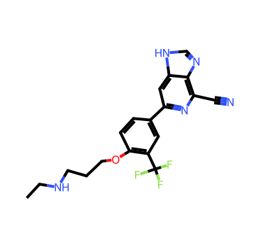 CCNCCCOc1ccc(-c2cc3[nH]cnc3c(C#N)n2)cc1C(F)(F)F